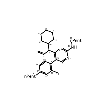 C=CC(/C(C)=C(/C=N\C(=C)NCCCCC)c1ccc(CCCCC)cc1C)C1CCCCC1